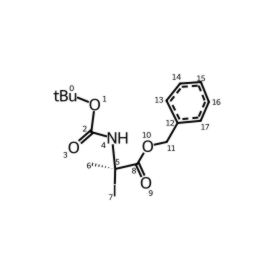 CC(C)(C)OC(=O)N[C@](C)(I)C(=O)OCc1ccccc1